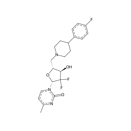 Cc1ccn([C@@H]2O[C@H](CN3CCC(c4ccc(F)cc4)CC3)[C@@H](O)C2(F)F)c(=O)n1